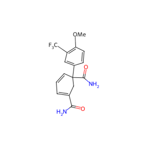 COc1ccc(C2(C(N)=O)C=CC=C(C(N)=O)C2)cc1C(F)(F)F